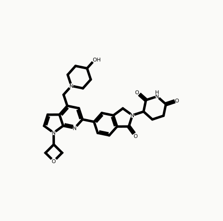 O=C1CCC(N2Cc3cc(-c4cc(CN5CCC(O)CC5)c5ccn(C6COC6)c5n4)ccc3C2=O)C(=O)N1